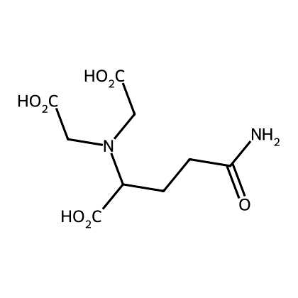 NC(=O)CCC(C(=O)O)N(CC(=O)O)CC(=O)O